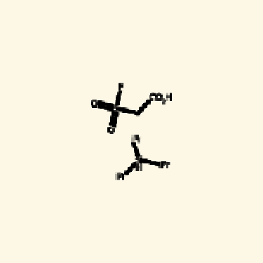 CC(C)[SiH](C(C)C)C(C)C.O=C(O)CS(=O)(=O)F